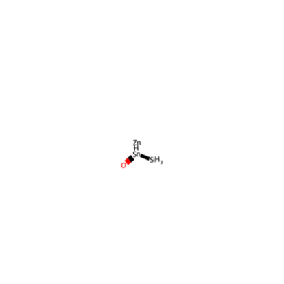 [O]=[SnH][SiH3].[Zn]